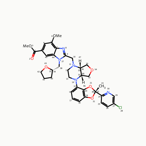 COC(=O)c1cc(OC)c2nc(CN3CCN(c4cccc5c4O[C@](C)(c4ccc(Cl)cn4)O5)[C@H]4COC[C@H]43)n(C[C@@H]3CCCO3)c2c1